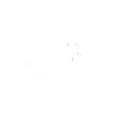 COc1ccc(-c2nnn(C(C)C)n2)cc1Cl